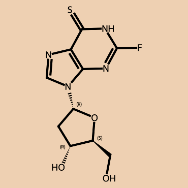 OC[C@@H]1O[C@@H](n2cnc3c(=S)[nH]c(F)nc32)C[C@H]1O